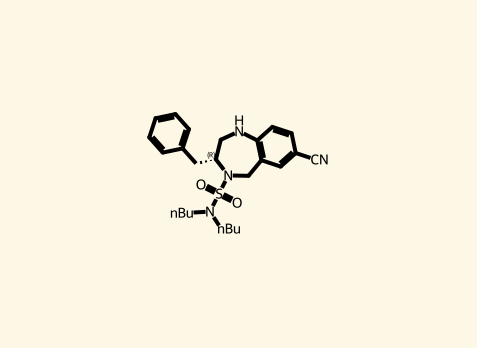 CCCCN(CCCC)S(=O)(=O)N1Cc2cc(C#N)ccc2NC[C@H]1Cc1ccccc1